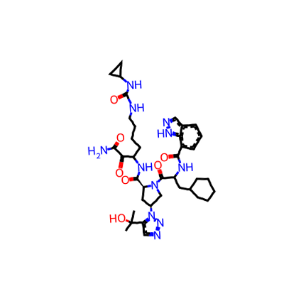 CC(C)(O)c1cnnn1[C@H]1C[C@@H](C(=O)NC(CCCCNC(=O)NC2CC2)C(=O)C(N)=O)N(C(=O)C(CC2CCCCC2)NC(=O)c2cccc3cn[nH]c23)C1